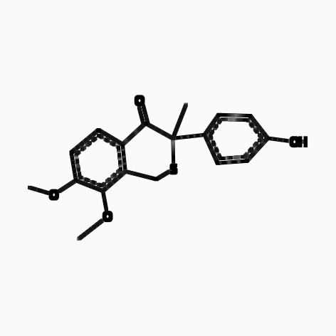 COc1ccc2c(c1OC)CSC(C)(c1ccc(O)cc1)C2=O